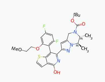 COCCOc1cc(F)cc(F)c1-c1c(-c2cc3n(n2)[C@H](C)[C@@H](C)N(C(=O)OC(C)(C)C)C3)nc(O)c2ccsc12